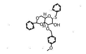 COc1ccc(CO[C@@H]2[C@H](O)[C@@H](Sc3ccccc3)O[C@@H]3COC(c4ccccc4)O[C@@H]23)cc1